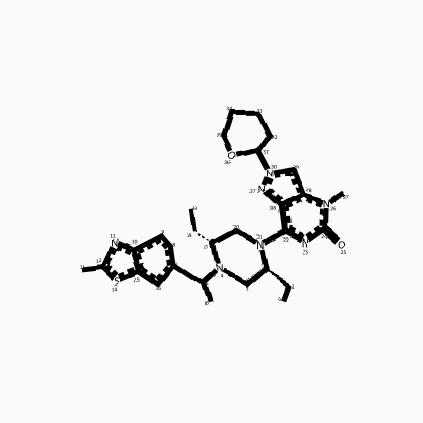 CC[C@H]1CN(C(C)c2ccc3nc(C)sc3c2)[C@H](CC)CN1c1nc(=O)n(C)c2cn(C3CCCCO3)nc12